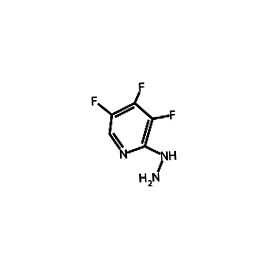 NNc1ncc(F)c(F)c1F